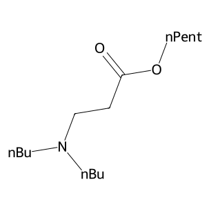 CCCCCOC(=O)CCN(CCCC)CCCC